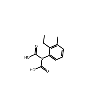 CCc1c(C)cccc1N(C(=O)O)C(=O)O